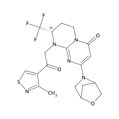 Cc1nscc1C(=O)CN1c2nc(N3CC4CC3CO4)cc(=O)n2CC[C@H]1C(F)(F)F